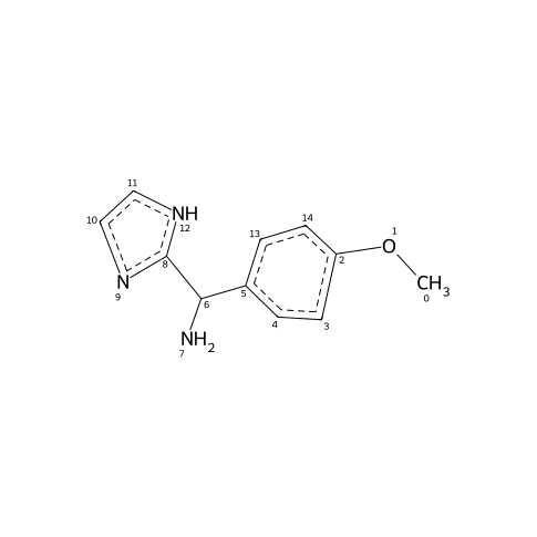 COc1ccc(C(N)c2ncc[nH]2)cc1